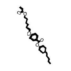 C=CC(=O)OCCCCCCOc1ccc(C(=O)OC2CCC(CCCCC)CC2)cc1